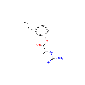 CCCc1cccc(OC(=O)C(C)NC(=N)N)c1